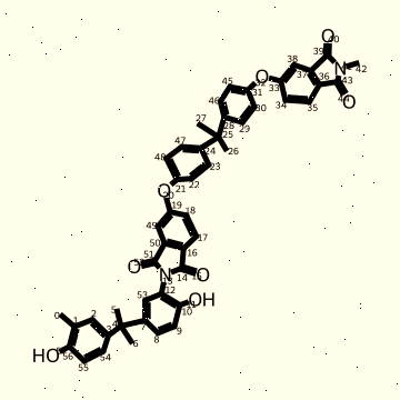 Cc1cc(C(C)(C)c2ccc(O)c(N3C(=O)c4ccc(Oc5ccc(C(C)(C)c6ccc(Oc7ccc8c(c7)C(=O)N(C)C8=O)cc6)cc5)cc4C3=O)c2)ccc1O